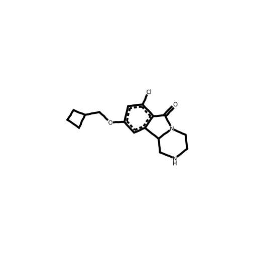 O=C1c2c(Cl)cc(OCC3CCC3)cc2C2CNCCN12